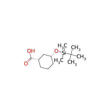 CC(C)(C)[Si](C)(C)O[C@@H]1CCC[C@H](C(=O)O)C1